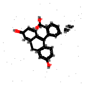 O=C1C=CC2=C(c3ccccc3C(=O)[O-])c3ccc([O-])cc3CC2=C1.[Na+].[Na+]